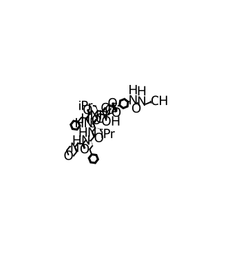 C#CCNC(=O)Nc1ccc(S(=O)(=O)OCC(C)(O)C(=O)[C@H](CC(C)C)NC(=O)[C@H](Cc2ccccc2)NC(=O)[C@H](CC(C)C)NC(=O)[C@H](CCc2ccccc2)NC(=O)CN2CCOCC2)cc1